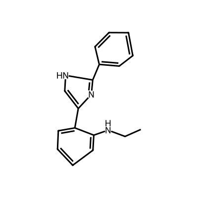 CCNc1ccccc1-c1c[nH]c(-c2ccccc2)n1